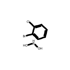 Clc1ccccc1Br.OBO